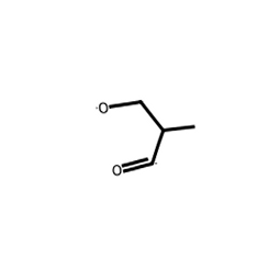 CC([C]=O)C[O]